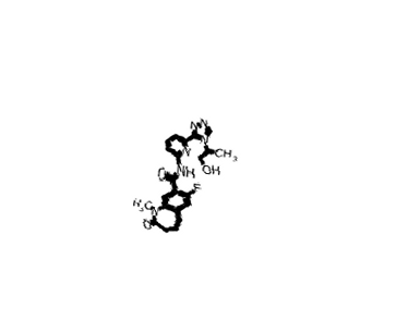 CC(CO)n1cnnc1-c1cccc(NC(=O)c2cc3c(cc2F)CCCC(=O)N3C)n1